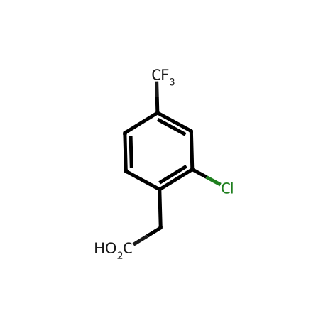 O=C(O)Cc1ccc(C(F)(F)F)cc1Cl